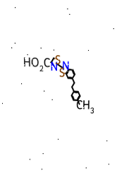 Cc1ccc(CCc2ccc3nc(C4=N[C@@H](C(=O)O)CS4)sc3c2)cc1